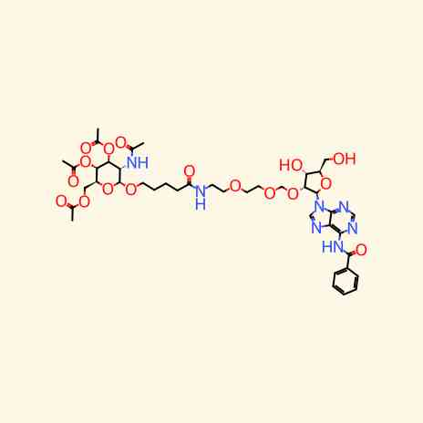 CC(=O)N[C@@H]1[C@@H](OCCCCC(=O)NCCOCCOCO[C@@H]2[C@H](O)[C@@H](CO)O[C@H]2n2cnc3c(NC(=O)c4ccccc4)ncnc32)O[C@@H](COC(C)=O)[C@@H](OC(C)=O)[C@H]1OC(C)=O